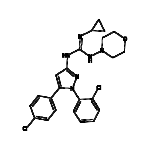 Clc1ccc(-c2cc(NC(=NC3CC3)NN3CCOCC3)nn2-c2ccccc2Cl)cc1